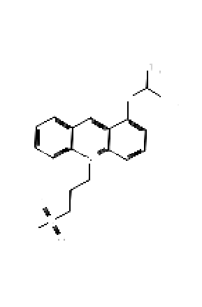 CC(C)Oc1cccc2c1cc1ccccc1[n+]2CCCS(=O)(=O)O